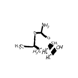 C#C.C#C.CC(C)OC(N)=O